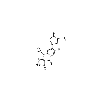 CC1CN(c2cc3c(cc2F)c(=O)c2c(=O)[nH]sc2n3C2CC2)CCN1